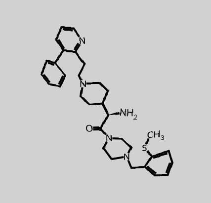 CSc1ccccc1CN1CCN(C(=O)[C@H](N)C2CCN(CCc3ncccc3-c3ccccc3)CC2)CC1